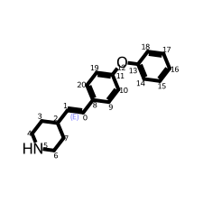 C(=C\C1CCNCC1)/c1ccc(Oc2ccccc2)cc1